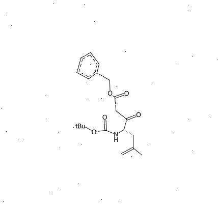 C=C(C)C[C@H](NC(=O)OC(C)(C)C)C(=O)CC(=O)OCc1ccccc1